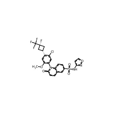 COc1cc([C@H]2C[C@](F)(C(F)(F)F)C2)c(Cl)cc1-n1c(=O)ccc2cc(S(=O)(=O)Nc3ccon3)ccc21